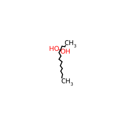 CCCCCCCCCCC(O)(O)CCC